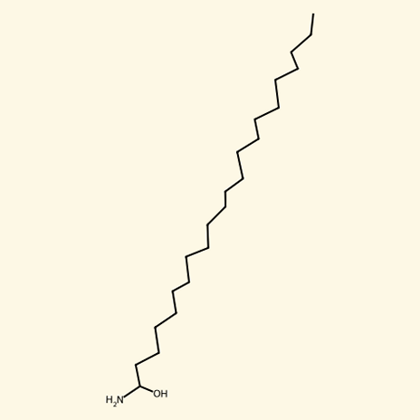 CCCCCCCCCCCCCCCCCCCCCC(N)O